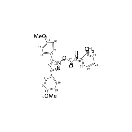 COc1ccc(-c2cc(-c3ccc(OC)cc3)n(OC(=O)Nc3ccccc3C)n2)cc1